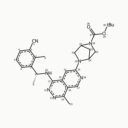 Cc1c(C#N)cccc1[C@@H](C)Nc1nnc(C)c2cnc(N3CC4CC3CN4C(=O)OC(C)(C)C)cc12